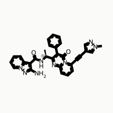 C[C@H](NC(=O)c1c(N)nn2ccccc12)c1nc2cccc(C#Cc3cnn(C)c3)n2c(=O)c1-c1ccccc1